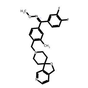 CO/N=C(\c1ccc(CN2CCC3(CC2)OCc2ccncc23)c(C)c1)c1ccc(F)c(F)c1